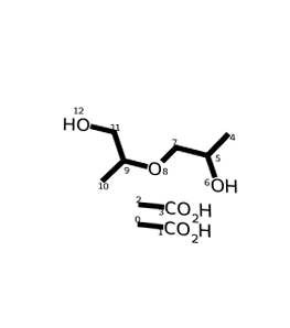 CC(=O)O.CC(=O)O.CC(O)COC(C)CO